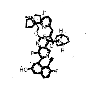 C#Cc1c(F)ccc2cc(O)cc(-c3ncc4c(N5C[C@H]6CC[C@@H](C5)N6C(=O)/C(F)=C/c5cccc(COC)n5)nc(OC[C@@]56CCCN5C[C@H](F)C6)nc4c3F)c12